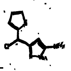 Nc1cc(C(Cl)c2cccs2)n[nH]1